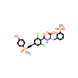 CP(=O)(C#Cc1cc(Cl)c(C(=O)N[C@@H](Cc2cccc(S(C)(=O)=O)c2)C(=O)O)c(Cl)c1)c1ccc(O)cc1